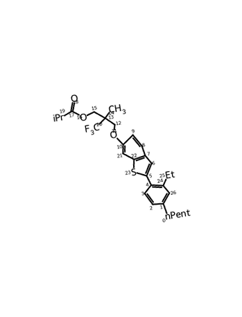 CCCCCc1ccc(-c2cc3ccc(OCC(C)(COC(=O)C(C)C)C(F)(F)F)cc3s2)c(CC)c1